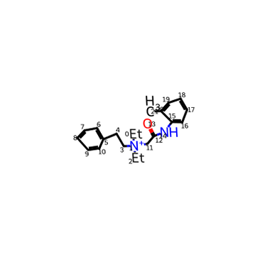 CC[N+](CC)(CCc1ccccc1)CC(=O)Nc1ccccc1C